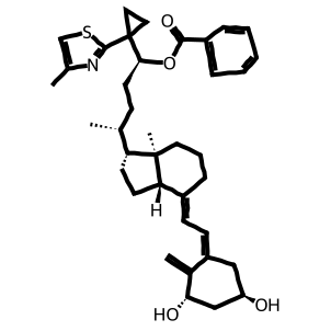 C=C1/C(=C\C=C2/CCC[C@]3(C)[C@@H]([C@H](C)CC[C@H](OC(=O)c4ccccc4)C4(c5nc(C)cs5)CC4)CC[C@@H]23)C[C@@H](O)C[C@@H]1O